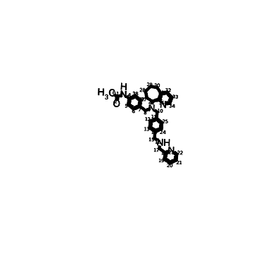 CC(=O)Nc1ccc(CN(Cc2ccc(CNCc3ccccn3)cc2)C2CCCCc3cccnc32)cc1